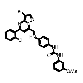 COc1cccc(NC(=O)Nc2ccc(NCc3cc(-c4ccccc4Cl)nc4c(Br)cnn34)cc2)c1